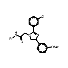 COc1cccc(C2CN(CC(=O)NC(C)C)C(c3cccc(Cl)c3)=N2)c1